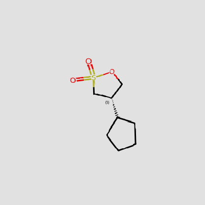 O=S1(=O)C[C@@H](C2CCCC2)CO1